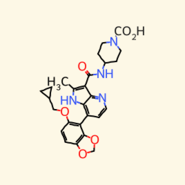 Cc1[nH]c2c(-c3c(OCC4CC4)ccc4c3OCO4)ccnc2c1C(=O)NC1CCN(C(=O)O)CC1